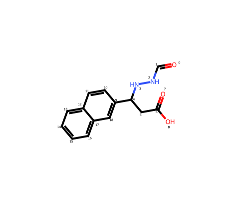 O=CNNC(CC(=O)O)c1ccc2ccccc2c1